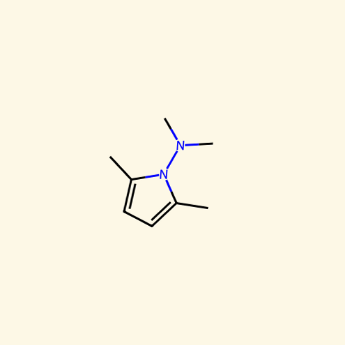 Cc1ccc(C)n1N(C)C